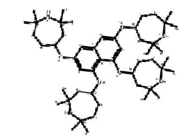 CC1(C)CCC(Oc2cc(OC3CCC(C)(C)NC(C)(C)C3)c3c(OC4CCC(C)(C)NC(C)(C)C4)cc(OC4CCC(C)(C)NC(C)(C)C4)cc3c2)CC(C)(C)N1